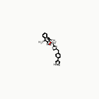 CC12CC(C)(C(=O)NC3=NC(Cc4ccc(-c5cn[nH]c5)cc4)CS3)C(c3ccccc31)n1cnnc12